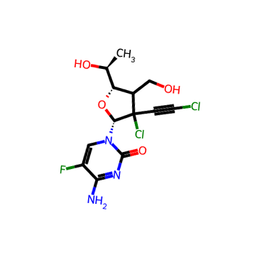 C[C@H](O)[C@H]1O[C@@H](n2cc(F)c(N)nc2=O)C(Cl)(C#CCl)C1CO